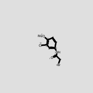 COc1ccc(NC(=O)CBr)cc1Cl